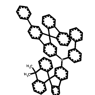 CC1(C)c2ccccc2C2(c3ccccc3-c3ccc(N(c4cccc(-c5ccccc5)c4)c4ccc5c(c4)C4(c6ccccc6-c6ccccc64)c4cc(-c6ccccc6)ccc4-5)cc32)c2ccccc21